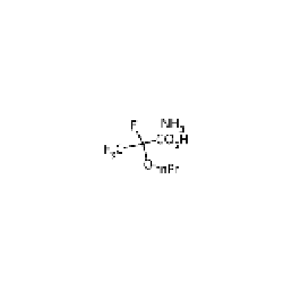 CCCOC(F)(C(=O)O)C(F)(F)F.N